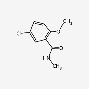 CNC(=O)c1cc(Cl)ccc1OC